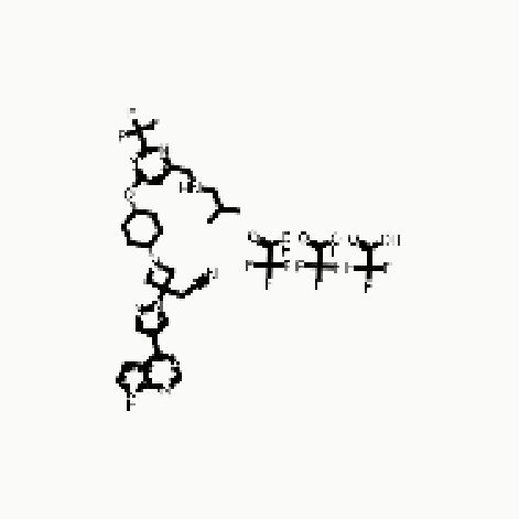 CC(C)CNCc1cc(O[C@H]2CC[C@@H](N3CC(CC#N)(n4cc(-c5ncnc6[nH]ccc56)cn4)C3)CC2)nc(C(F)(F)F)n1.O=C(O)C(F)(F)F.O=C(O)C(F)(F)F.O=C(O)C(F)(F)F